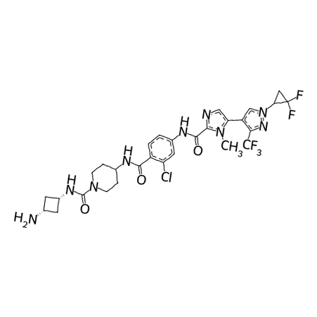 Cn1c(-c2cn(C3CC3(F)F)nc2C(F)(F)F)cnc1C(=O)Nc1ccc(C(=O)NC2CCN(C(=O)N[C@H]3C[C@@H](N)C3)CC2)c(Cl)c1